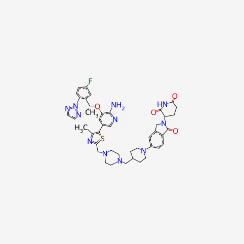 Cc1nc(CN2CCN(CC3CCN(c4ccc5c(c4)CN(C4CCC(=O)NC4=O)C5=O)CC3)CC2)sc1-c1cnc(N)c(O[C@H](C)c2cc(F)ccc2-n2nccn2)c1